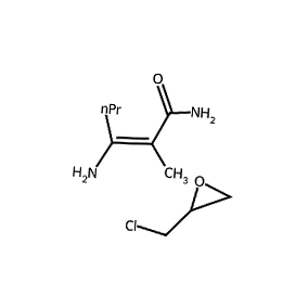 CCC/C(N)=C(/C)C(N)=O.ClCC1CO1